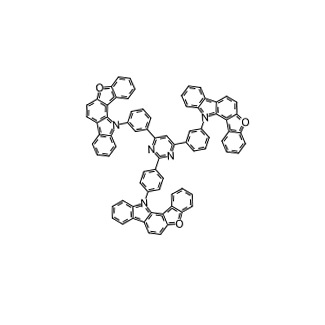 c1cc(-c2cc(-c3cccc(-n4c5ccccc5c5ccc6oc7ccccc7c6c54)c3)nc(-c3ccc(-n4c5ccccc5c5ccc6oc7ccccc7c6c54)cc3)n2)cc(-n2c3ccccc3c3ccc4oc5ccccc5c4c32)c1